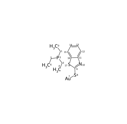 CCP(CC)CC.[Au][S]c1nc2ccccc2s1